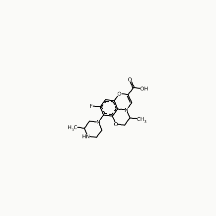 CC1CN(c2c(F)cc3c4c2OCC(C)N4C=C(C(=O)O)O3)CCN1